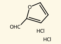 Cl.Cl.O=Cc1ccco1